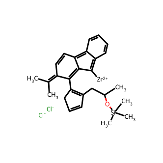 CC(C)=c1ccc2c(c1C1=C(CC(C)O[Si](C)(C)C)C=CC1)[C]([Zr+2])=c1ccccc1=2.[Cl-].[Cl-]